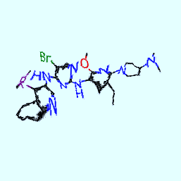 CCc1cc(Nc2ncc(Br)c(Nc3cnc4ccccc4c3P(C)C)n2)c(OC)nc1N1CCC(N(C)C)CC1